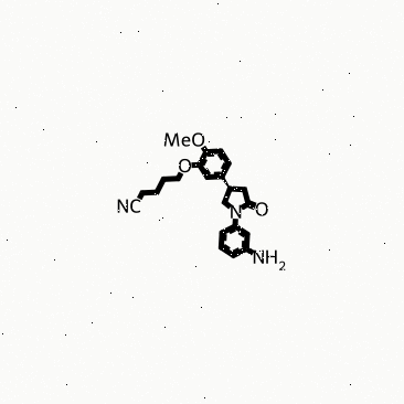 COc1ccc([C@H]2CC(=O)N(c3cccc(N)c3)C2)cc1OCCCCC#N